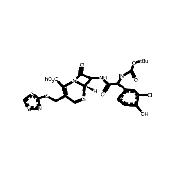 CC(C)(C)OC(=O)NC(C(=O)NC1C(=O)N2C(C(=O)O)=C(CSc3nncs3)CS[C@@H]12)c1ccc(O)c(Cl)c1